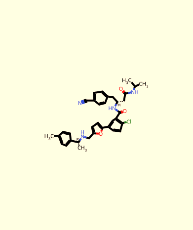 Cc1ccc([C@@H](C)NCc2ccc(-c3ccc(Cl)c(C(=O)N[C@@H](CC(=O)NC(C)C)Cc4ccc(C#N)cc4)c3)o2)cc1